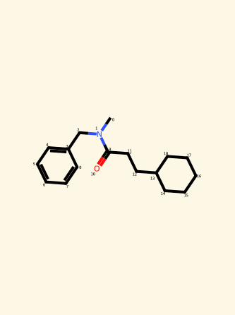 CN(Cc1ccccc1)C(=O)[CH]CC1CCCCC1